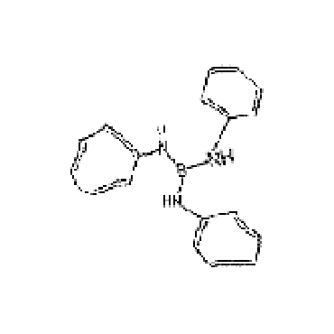 c1ccc(NB(Nc2ccccc2)Nc2ccccc2)cc1